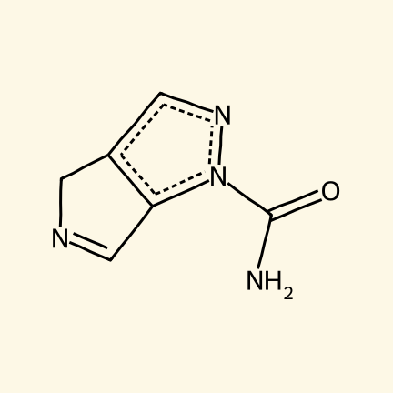 NC(=O)n1ncc2c1C=NC2